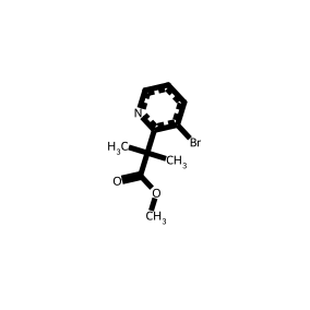 COC(=O)C(C)(C)c1ncccc1Br